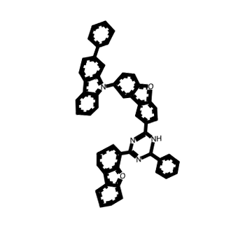 c1ccc(-c2ccc3c4ccccc4n(-c4ccc5oc6ccc(C7=NC(c8cccc9c8oc8ccccc89)=NC(c8ccccc8)N7)cc6c5c4)c3c2)cc1